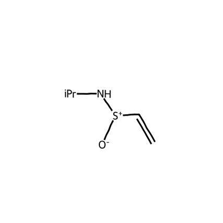 C=C[S+]([O-])NC(C)C